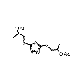 CC(=O)OC(C)CSc1nnc(SCC(C)OC(C)=O)s1